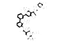 COc1nc(-c2cccc(-c3cccc(NC(=O)c4cn(C)c(=O)n(C)c4=O)c3C)c2C)cc2c1C(NC[C@@H]1CCC(=O)N1)CO2